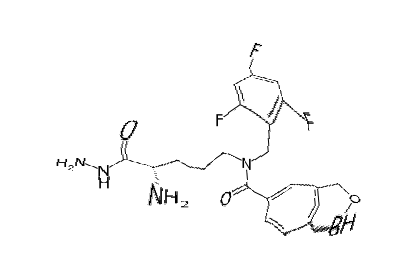 NNC(=O)[C@@H](N)CCCN(Cc1c(F)cc(F)cc1F)C(=O)c1ccc2c(c1)COB2